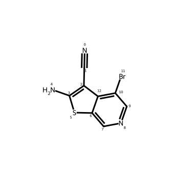 N#Cc1c(N)sc2cncc(Br)c12